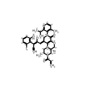 C#C/C(=C(Cl)\C=C1/CN(c2c(C)ccnc2C(C)C)C(=O)C2=C1N1C[C@@H](C)N(C(=O)C=C)C[C@@H]1CO2)c1c(O)cccc1F